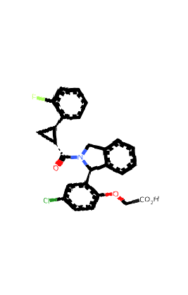 O=C(O)COc1ccc(Cl)cc1[C@@H]1c2ccccc2CN1C(=O)[C@@H]1C[C@H]1c1ccccc1F